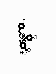 O=C(O)c1ccc(CN(CCCc2ccc(F)cc2)S(=O)(=O)c2ccc(Cl)cc2)cc1